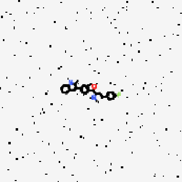 Cc1nc2ccccc2cc1-c1ccc2c(c1)COC2C(CCc1ccc(F)cc1)N(C)C